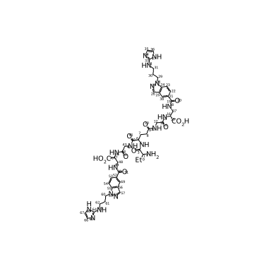 CCC(N)C(=O)NC(CCC(=O)NCC(=O)N[C@@H](CNC(=O)c1ccc2c(cnn2CCCNc2ncc[nH]2)c1)C(=O)O)C(=O)NCC(=O)N[C@@H](CNC(=O)c1ccc2c(cnn2CCCNc2ncc[nH]2)c1)C(=O)O